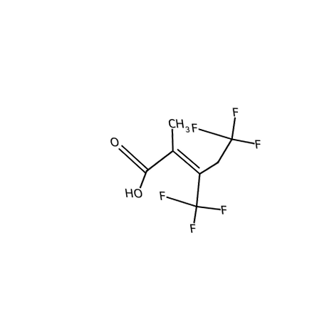 CC(C(=O)O)=C(CC(F)(F)F)C(F)(F)F